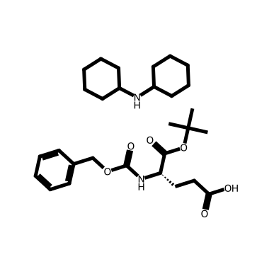 C1CCC(NC2CCCCC2)CC1.CC(C)(C)OC(=O)[C@H](CCC(=O)O)NC(=O)OCc1ccccc1